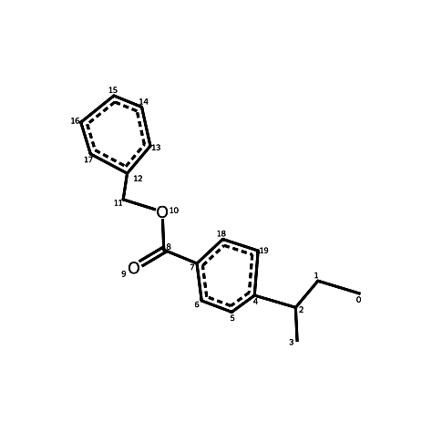 CCC(C)c1ccc(C(=O)OCc2ccccc2)cc1